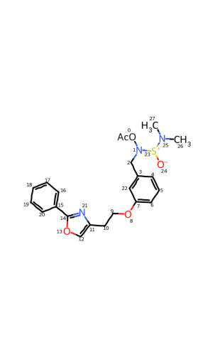 CC(=O)ON(Cc1cccc(OCCc2coc(-c3ccccc3)n2)c1)[S+]([O-])N(C)C